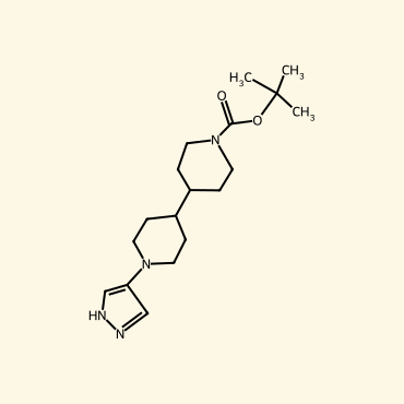 CC(C)(C)OC(=O)N1CCC(C2CCN(c3cn[nH]c3)CC2)CC1